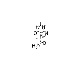 C=C1N(C)C(=O)c2c(ncn2[C@@H](C)C(N)=O)N1C